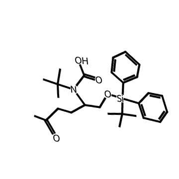 CC(=O)CCC(CO[Si](c1ccccc1)(c1ccccc1)C(C)(C)C)N(C(=O)O)C(C)(C)C